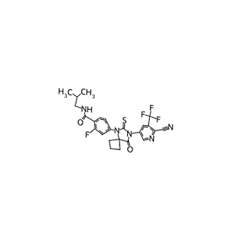 CC(C)CNC(=O)c1ccc(N2C(=S)N(c3cnc(C#N)c(C(F)(F)F)c3)C(=O)C23CCC3)cc1F